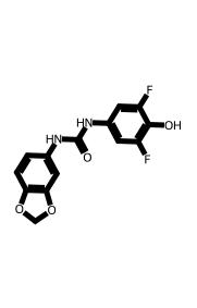 O=C(Nc1cc(F)c(O)c(F)c1)Nc1ccc2c(c1)OCO2